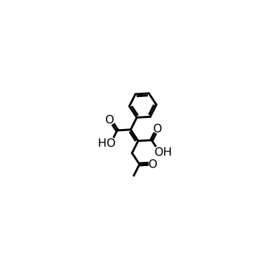 CC(=O)C/C(C(=O)O)=C(\C(=O)O)c1ccccc1